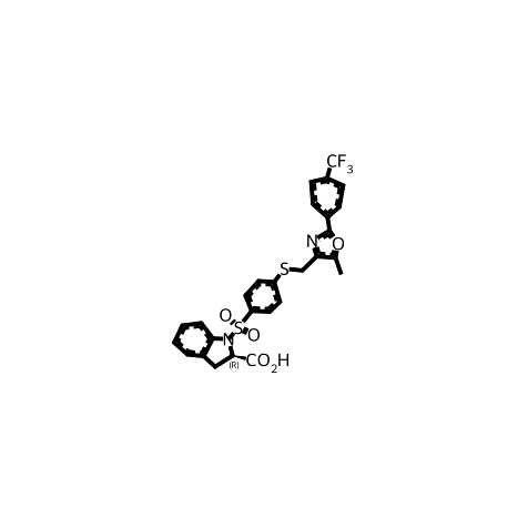 Cc1oc(-c2ccc(C(F)(F)F)cc2)nc1CSc1ccc(S(=O)(=O)N2c3ccccc3C[C@@H]2C(=O)O)cc1